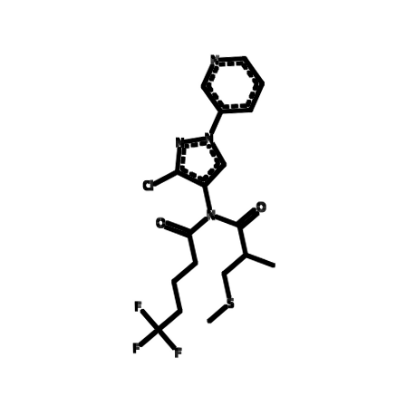 CSCC(C)C(=O)N(C(=O)CCCC(F)(F)F)c1cn(-c2cccnc2)nc1Cl